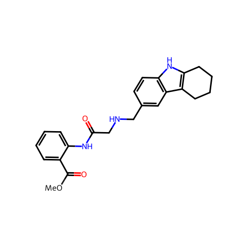 COC(=O)c1ccccc1NC(=O)CNCc1ccc2[nH]c3c(c2c1)CCCC3